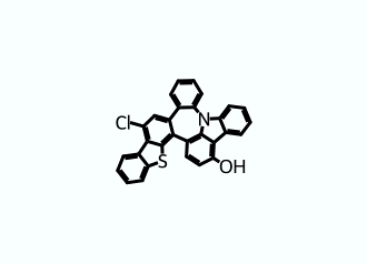 Oc1ccc2c3c1c1ccccc1n3-c1ccccc1-c1cc(Cl)c3c(sc4ccccc43)c1-2